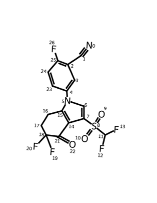 N#Cc1cc(-n2cc(S(=O)(=O)C(F)F)c3c2CCC(F)(F)C3=O)ccc1F